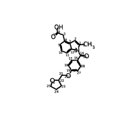 Cc1cc2c(CC(=O)O)cccc2n1C(=O)c1ccc(OCC2CCCO2)cc1